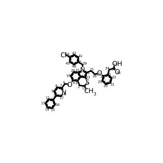 CC1Cc2c(OCc3ccc(-c4ccccc4)cn3)ccc3c2c(c(CCOc2ccccc2CC(=O)O)n3Cc2ccc(Cl)cc2)S1